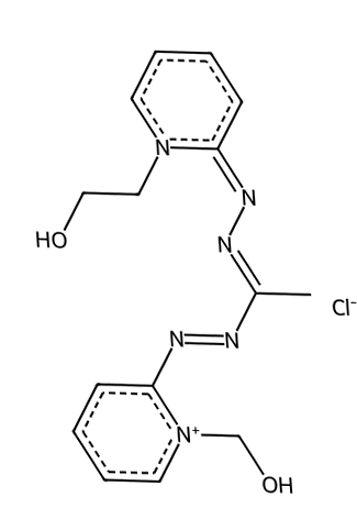 CC(N=Nc1cccc[n+]1CO)=NN=c1ccccn1CCO.[Cl-]